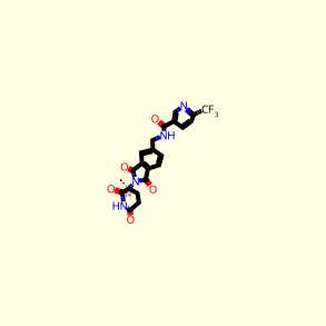 C[C@]1(N2C(=O)c3ccc(CNC(=O)c4ccc(C(F)(F)F)nc4)cc3C2=O)CCC(=O)NC1=O